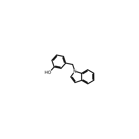 Oc1cccc(Cn2ccc3ccccc32)c1